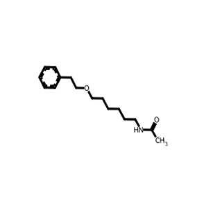 CC(=O)NCCCCCCOCCc1ccccc1